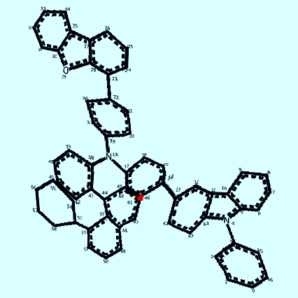 c1ccc(-n2c3ccccc3c3cc(-c4ccc(N(c5ccc(-c6cccc7c6oc6ccccc67)cc5)c5ccccc5-c5cccc6cccc(C7CCCCC7)c56)cc4)ccc32)cc1